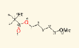 CCC(C)(C)C(=O)OCCCCCOC